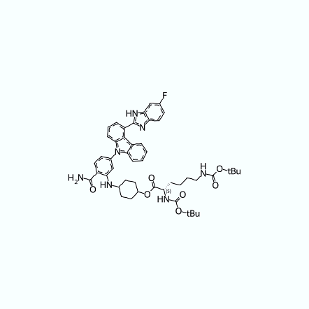 CC(C)(C)OC(=O)NCCCC[C@H](NC(=O)OC(C)(C)C)C(=O)OC1CCC(Nc2cc(-n3c4ccccc4c4c(-c5nc6ccc(F)cc6[nH]5)cccc43)ccc2C(N)=O)CC1